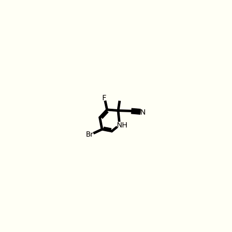 CC1(C#N)NC=C(Br)C=C1F